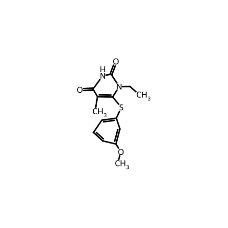 CCn1c(Sc2cccc(OC)c2)c(C)c(=O)[nH]c1=O